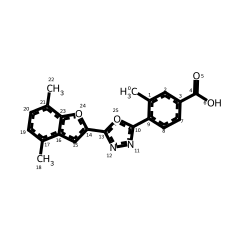 Cc1cc(C(=O)O)ccc1-c1nnc(-c2cc3c(C)ccc(C)c3o2)o1